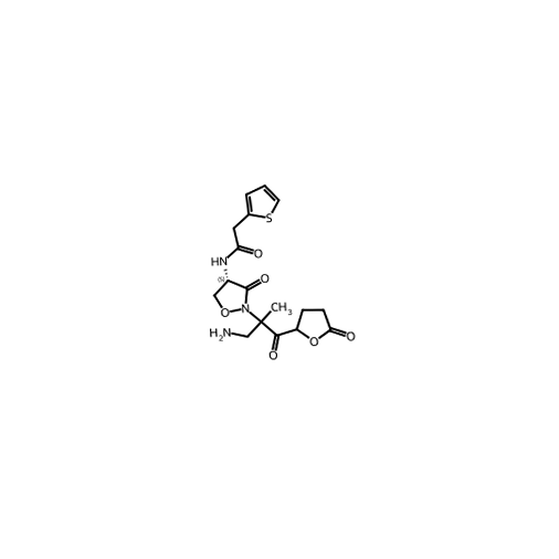 CC(CN)(C(=O)C1CCC(=O)O1)N1OC[C@H](NC(=O)Cc2cccs2)C1=O